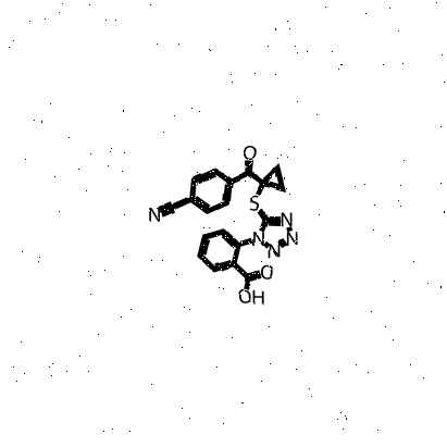 N#Cc1ccc(C(=O)C2(Sc3nnnn3-c3ccccc3C(=O)O)CC2)cc1